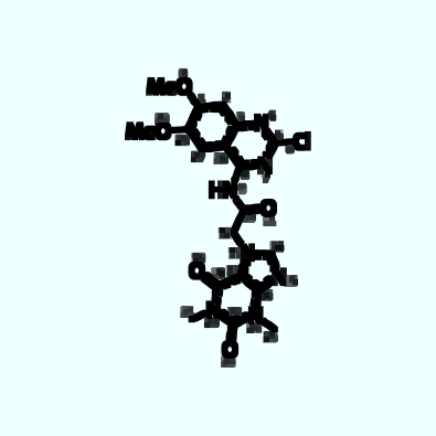 COc1cc2nc(Cl)nc(NC(=O)Cn3cnc4c3c(=O)n(C)c(=O)n4C)c2cc1OC